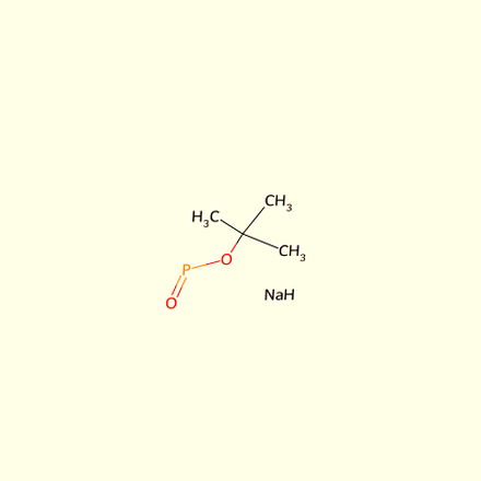 CC(C)(C)OP=O.[NaH]